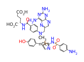 CCCCCCCCc1ccc(O)cc1.CN(Cc1cnc2nc(N)nc(N)c2n1)c1ccc(C(=O)N[C@@H](CCC(=O)O)C(=O)O)cc1.Nc1ccc(S(=O)(=O)Nc2nccs2)cc1